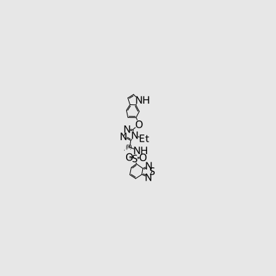 CCn1c(Oc2ccc3cc[nH]c3c2)nnc1[C@@H](C)NS(=O)(=O)c1cccc2nsnc12